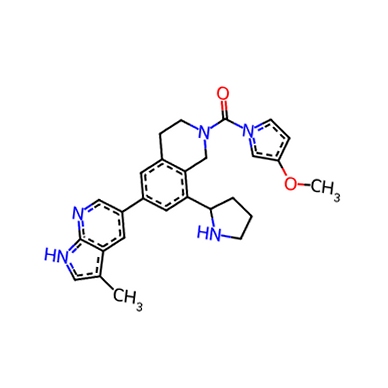 COc1ccn(C(=O)N2CCc3cc(-c4cnc5[nH]cc(C)c5c4)cc(C4CCCN4)c3C2)c1